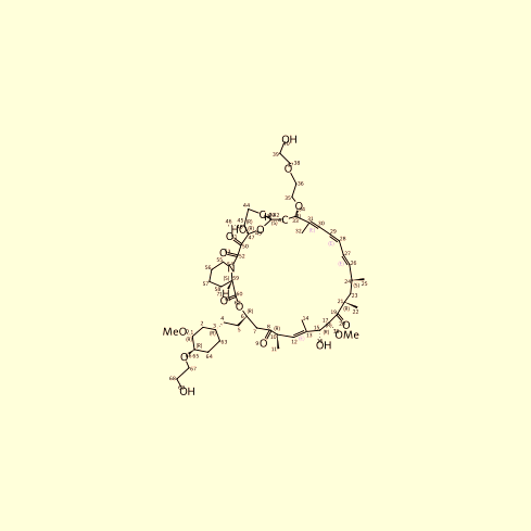 CO[C@@H]1C[C@H](CC[C@@H]2CC(=O)[C@H](C)/C=C(\C)[C@@H](O)[C@@H](OC)C(=O)[C@H](C)C[C@H](C)/C=C/C=C/C=C(\C)[C@H](OCCOCCO)C[C@@H]3CC[C@@H](C)[C@@](O)(O3)C(=O)C(=O)N3CCCC[C@H]3C(=O)O2)CC[C@H]1OCCO